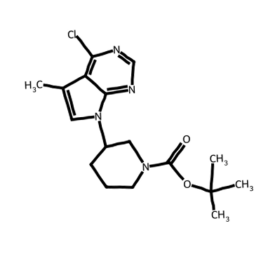 Cc1cn(C2CCCN(C(=O)OC(C)(C)C)C2)c2ncnc(Cl)c12